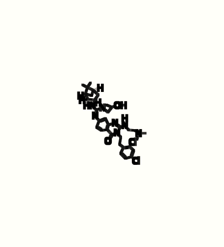 C[C@H]1[C@@H](NC(=Nc2ccc3c(=O)n(CCc4ccc(Cl)cc4Cl)c(NCCN(C)C)nc3c2)N2CC(O)C2)C[C@H]2C[C@H]1C2(C)C